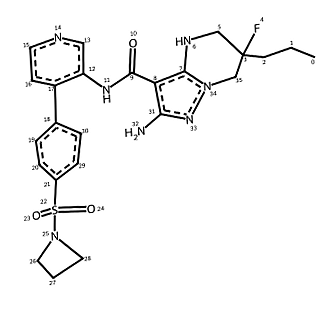 CCCC1(F)CNc2c(C(=O)Nc3cnccc3-c3ccc(S(=O)(=O)N4CCC4)cc3)c(N)nn2C1